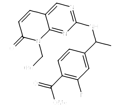 COC(=O)c1ccc(C(C)Nc2ncc3ccc(=O)n(CC(C)(C)C)c3n2)cc1F